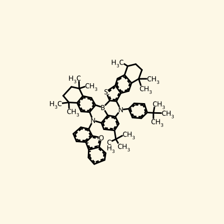 CC1CCC(C)(C)c2cc3c4c(sc3cc21)B1c2cc3c(cc2N(c2cccc5c2oc2ccccc25)c2cc(C(C)(C)C)cc(c21)N4c1ccc(C(C)(C)C)cc1)C(C)(C)CCC3(C)C